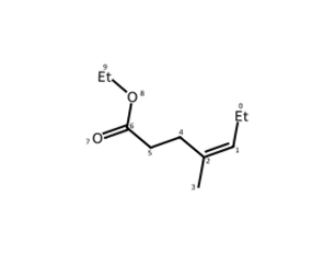 CCC=C(C)CCC(=O)OCC